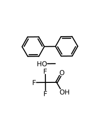 CO.O=C(O)C(F)(F)F.c1ccc(-c2ccccc2)cc1